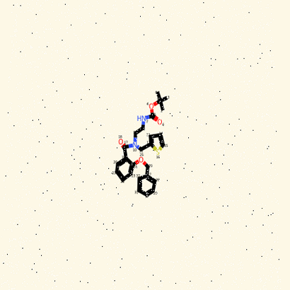 CC(C)(C)OC(=O)NCCN(Cc1cccs1)C(=O)c1ccccc1OCc1ccccc1